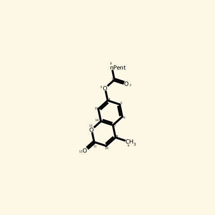 CCCCCC(=O)Oc1ccc2c(C)cc(=O)oc2c1